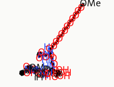 CC[C@H](C)[C@@H]([C@@H](CC(=O)N1CCC[C@H]1[C@H](OC)[C@@H](C)C(=O)N[C@H](C)[C@@H](O)c1ccccc1)OC)N(C)C(=O)[C@@H](NC(=O)[C@H](C(C)C)N(C)C(=O)OCc1ccc(O[C@@H]2O[C@H](CO)[C@H](O)[C@H](O)[C@H]2O)c(CNC(=O)CCNC(=O)COC2(CNC(=O)CCN3C(=O)C=CC3=O)CN(C(=O)CCOCCOCCOCCOCCOCCOCCOCCOCCOCCOCCOCCOC)C2)c1)C(C)C